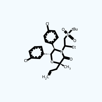 C=CC[C@]1(C)O[C@H](c2cccc(Cl)c2)[C@@H](c2ccc(Cl)cc2)N(C(CC)CS(=O)(=O)C(C)(C)C)C1=O